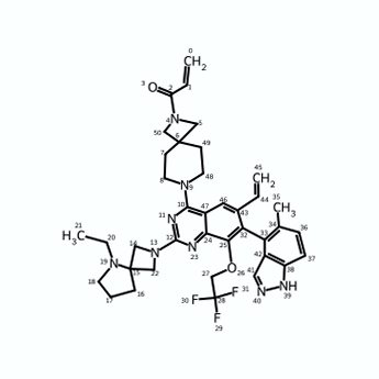 C=CC(=O)N1CC2(CCN(c3nc(N4CC5(CCCN5CC)C4)nc4c(OCC(F)(F)F)c(-c5c(C)ccc6[nH]ncc56)c(C=C)cc34)CC2)C1